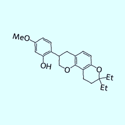 CCC1(CC)CCc2c(ccc3c2OCC(c2ccc(OC)cc2O)C3)O1